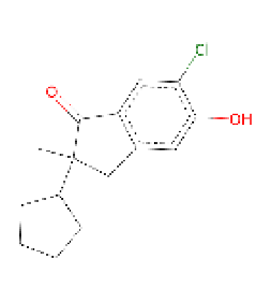 CC1(C2CCCC2)Cc2cc(O)c(Cl)cc2C1=O